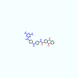 CN(C)c1nc(Nc2ccc(Nc3ccc(NC(=O)c4ccc5c(c4)C(=O)c4ccccc4C5=O)cc3)cc2)nc(N(C)C)n1